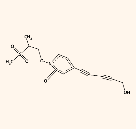 CC(COn1ccc(C#CC#CCO)cc1=O)S(C)(=O)=O